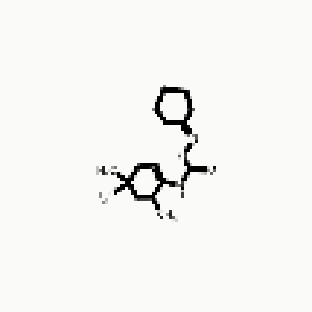 CC1CC(C)(C)CC=C1NC(=O)ON=C1CCCCC1